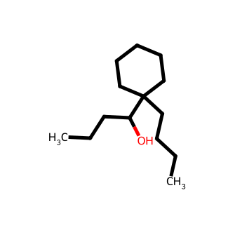 CCCCC1(C(O)CCC)CCCCC1